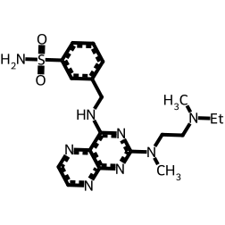 CCN(C)CCN(C)c1nc(NCc2cccc(S(N)(=O)=O)c2)c2nccnc2n1